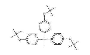 CC(c1ccc(O[Si](C)(C)C)cc1)(c1ccc(O[Si](C)(C)C)cc1)c1ccc(O[Si](C)(C)C)cc1